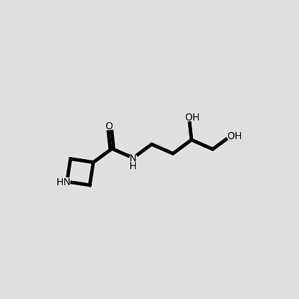 O=C(NCCC(O)CO)C1CNC1